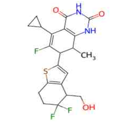 CC1c2[nH]c(=O)[nH]c(=O)c2C(C2CC2)=C(F)C1c1cc2c(s1)CCC(F)(F)C2CO